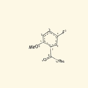 COc1ccc(F)cc1C(=O)C(C)(C)C